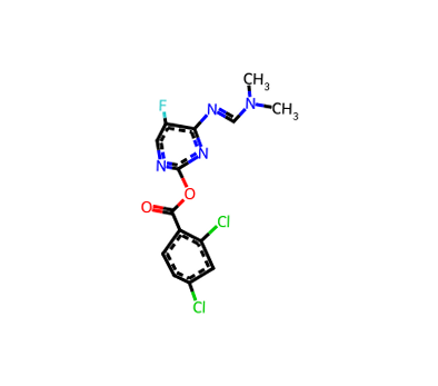 CN(C)/C=N/c1nc(OC(=O)c2ccc(Cl)cc2Cl)ncc1F